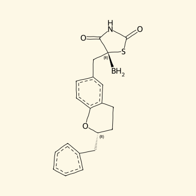 B[C@]1(Cc2ccc3c(c2)CC[C@H](Cc2ccccc2)O3)SC(=O)NC1=O